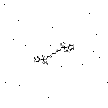 CC(C)(CCSCCSCCC(C)(C)n1cnnn1)n1cnnn1